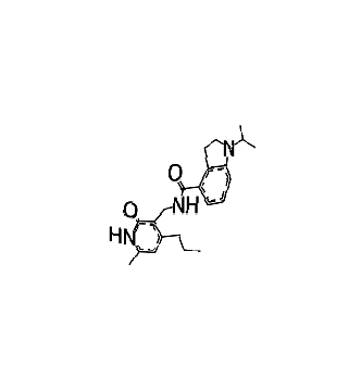 CCCc1cc(C)[nH]c(=O)c1CNC(=O)c1cccc2c1CCN2C(C)C